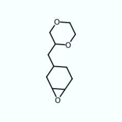 C1COC(CC2CCC3OC3C2)CO1